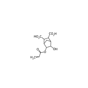 C=CC(=O)OC1C(O)C2CC1C(C(=O)O)C2C(=O)O